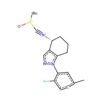 Cc1ccc(F)c(-n2ncc3c2CCC[C@H]3[N+]#C[S+]([O-])C(C)(C)C)c1